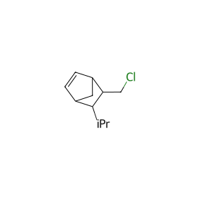 CC(C)C1C2C=CC(C2)C1CCl